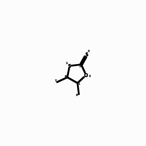 CC1OC(=S)SC1C